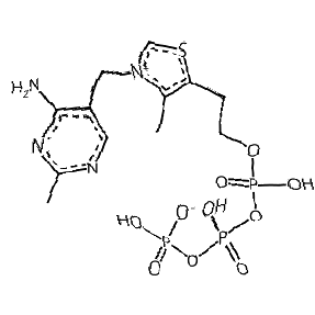 Cc1ncc(C[n+]2csc(CCOP(=O)(O)OP(=O)(O)OP(=O)([O-])O)c2C)c(N)n1